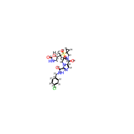 CC(C)(C1CNC(=O)O1)S(=O)(=O)C1(CN2CCn3c(cnc3C(=O)NCc3ccc(Cl)cc3)C2=O)CC1